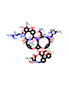 CN[C@H](CC(C)C)C(=O)N[C@H]1C(=O)N[C@@H](CCC(N)=O)C(=O)N[C@H]2C(=O)N[C@H]3C(=O)N[C@H](C(=O)N[C@H](C(=O)NCCNC(=N)N)C4=CC(O)C(C)C(O)=C4C4CC3=CC=C4O)[C@H](O)C3=CC=C(Oc4cc2cc(c4O[C@H]2OC(CO)C(O)[C@@H]4c5cc(ccc5-c5ccc(Cl)cc5)CNC5(C)C[C@H](OC24)OC(C)[C@H]5O)OC2=C(Cl)C=C(CC2)[C@H]1O)C(Cl)C3C